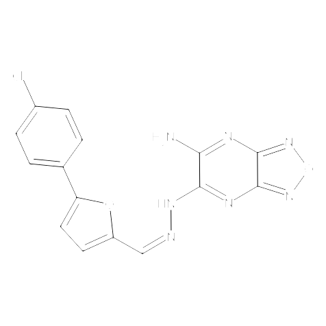 Nc1nc2nonc2nc1N/N=C\c1ccc(-c2ccc(Cl)cc2)o1